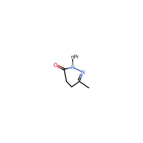 CCCN1N=C(C)CCC1=O